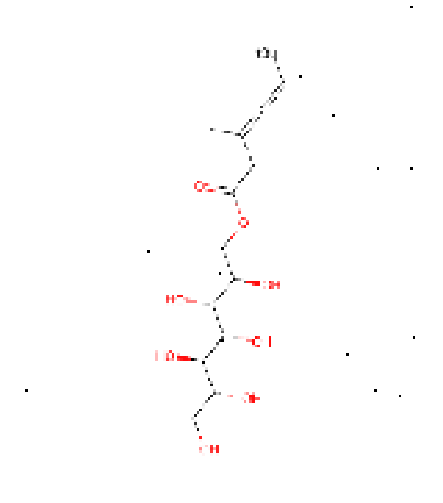 CC(=C=CC(C)(C)C)CC(=O)OC[C@@H](O)[C@@H](O)[C@H](O)[C@H](O)[C@H](O)CO